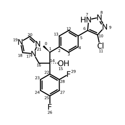 C[C@@H](c1ccc(-c2[nH]nnc2Cl)cc1)[C@](O)(Cn1cncn1)c1ccc(F)cc1F